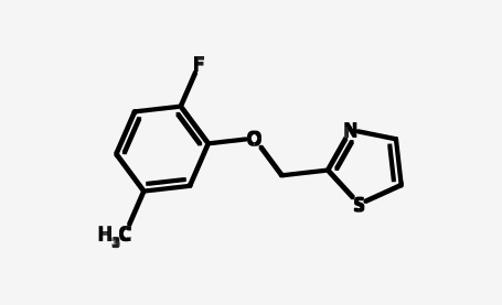 Cc1ccc(F)c(OCc2nccs2)c1